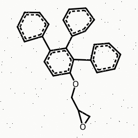 c1ccc(-c2ccc(OCC3CO3)c(-c3ccccc3)c2-c2ccccc2)cc1